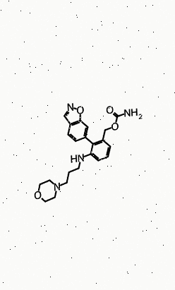 NC(=O)OCc1cccc(NCCCN2CCOCC2)c1-c1ccc2cnoc2c1